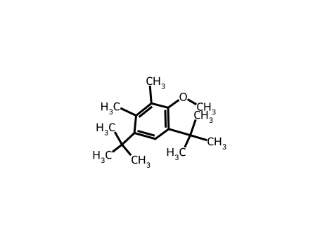 COc1c(C(C)(C)C)cc(C(C)(C)C)c(C)c1C